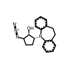 [N-]=[N+]=NC1CC[C@@H](N2c3ccccc3CCc3ccccc32)[C@@H]1O